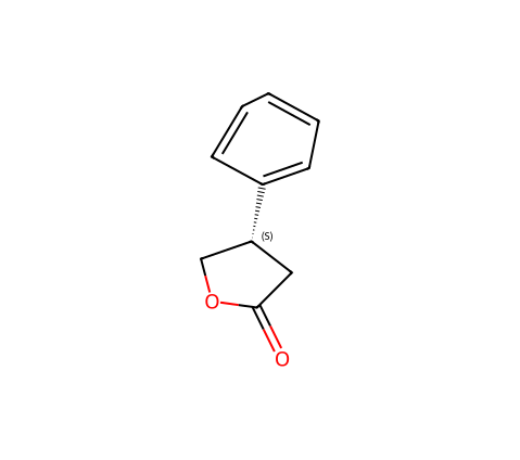 O=C1C[C@@H](c2ccccc2)CO1